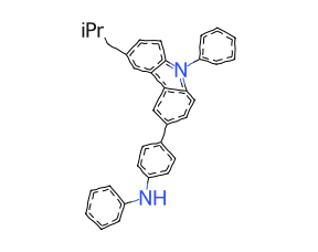 CC(C)Cc1ccc2c(c1)c1cc(-c3ccc(Nc4ccccc4)cc3)ccc1n2-c1ccccc1